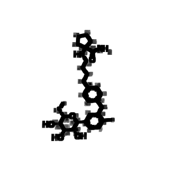 CS[C@H]1O[C@@H](c2ccc(C)c(Cc3ccc(CCCCNC4(C(N)=O)CCCC4)cc3)c2)[C@H](O)[C@@H](O)[C@@H]1O